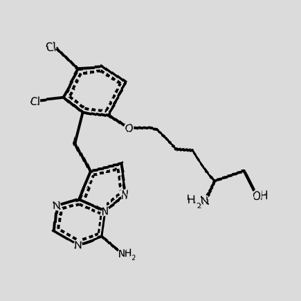 Nc1ncnc2c(Cc3c(OCCCC(N)CO)ccc(Cl)c3Cl)cnn12